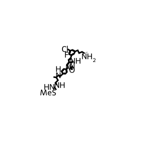 CSCC(=N)NCCC(C)NCc1ccc(-n2cc3cc(-c4cc(CCC[C@H](C)N)cc(Cl)c4F)[nH]c3nc2=O)cc1